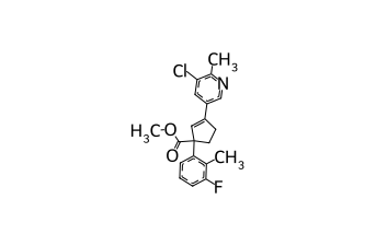 COC(=O)C1(c2cccc(F)c2C)C=C(c2cnc(C)c(Cl)c2)CC1